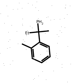 CCC(C)(P)c1ccccc1C